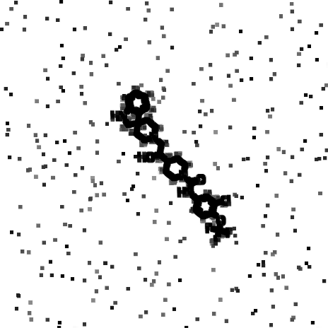 O=C(Nc1ccc(OC(F)(F)F)c(Cl)c1)N1CCC(C(O)CN2CCC3(CC2)CNc2ccccc23)CC1